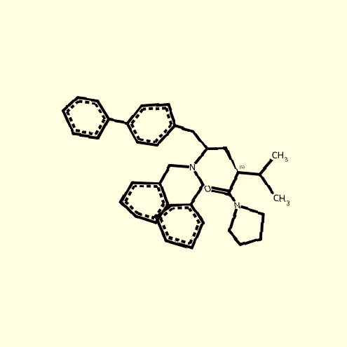 CC(C)[C@H](CC(Cc1ccc(-c2ccccc2)cc1)N(Cc1ccccc1)Cc1ccccc1)C(=O)N1CCCC1